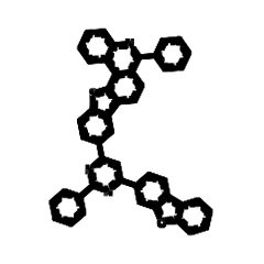 c1ccc(-c2nc(-c3ccc4c(c3)oc3ccccc34)cc(-c3ccc4sc5c(ccc6c(-c7ccccc7)nc7ccccc7c65)c4c3)n2)cc1